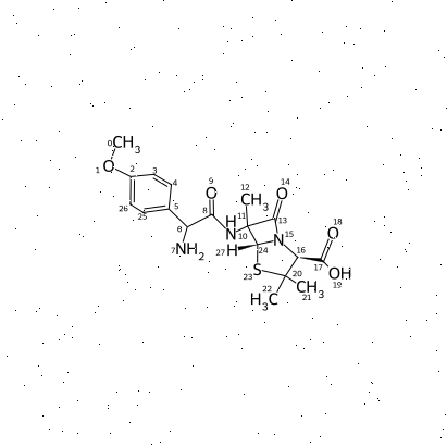 COc1ccc(C(N)C(=O)NC2(C)C(=O)N3[C@@H](C(=O)O)C(C)(C)S[C@@H]32)cc1